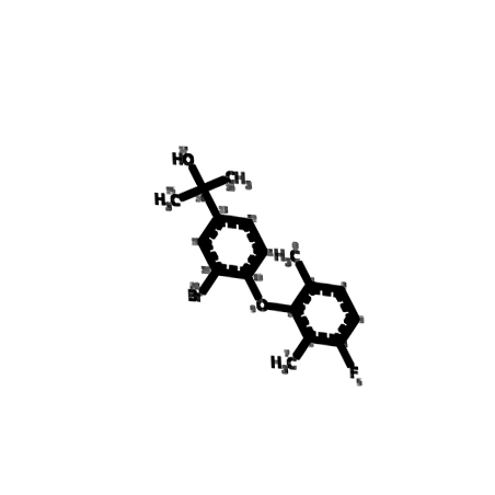 Cc1ccc(F)c(C)c1Oc1ccc(C(C)(C)O)cc1Br